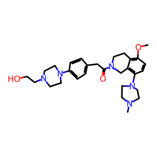 COc1ccc(N2CCN(C)CC2)c2c1CCN(C(=O)Cc1ccc(N3CCN(CCO)CC3)cc1)C2